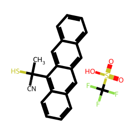 CC(S)(C#N)c1c2ccccc2cc2cc3ccccc3cc12.O=S(=O)(O)C(F)(F)F